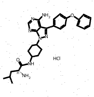 CC(C)C[C@@H](N)C(=O)NC1CCC(n2nc(-c3ccc(Oc4ccccc4)cc3)c3c(N)ncnc32)CC1.Cl